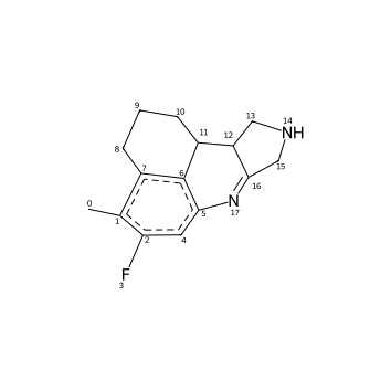 Cc1c(F)cc2c3c1CCCC3C1CNCC1=N2